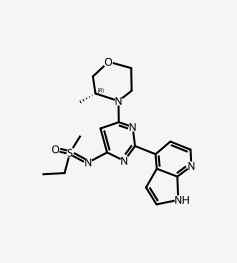 CCS(C)(=O)=Nc1cc(N2CCOC[C@H]2C)nc(-c2ccnc3[nH]ccc23)n1